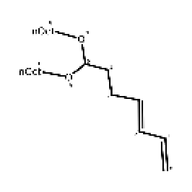 C=C/C=C/CCC(OCCCCCCCC)OCCCCCCCC